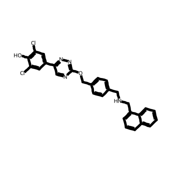 Oc1c(Cl)cc(-c2cnc(OCc3ccc(CNCc4cccc5ccccc45)cc3)nn2)cc1Cl